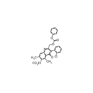 CCOC(=O)c1c(C)cc2nc(COC(=O)Oc3ccccc3)n(-c3ccccc3Cl)c(=O)c2c1C